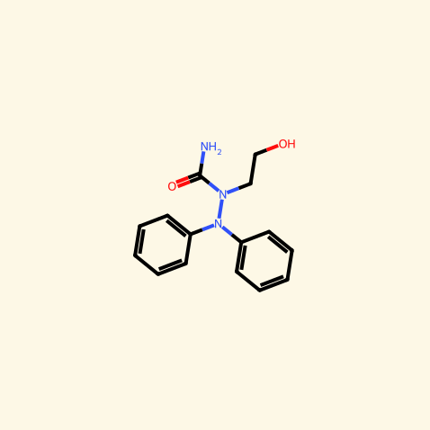 NC(=O)N(CCO)N(c1ccccc1)c1ccccc1